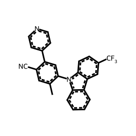 Cc1cc(C#N)c(-c2ccncc2)cc1-n1c2ccccc2c2cc(C(F)(F)F)ccc21